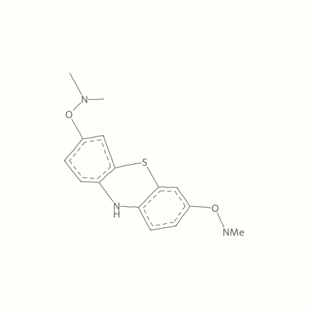 CNOc1ccc2c(c1)Sc1cc(ON(C)C)ccc1N2